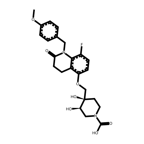 COc1ccc(CN2C(=O)CCc3c(OC[C@]4(O)CCN(C(=O)O)C[C@H]4O)ccc(F)c32)cc1